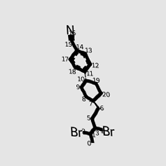 CC(Br)C(Br)CC[C@H]1CC[C@H](c2ccc(C#N)cc2)CC1